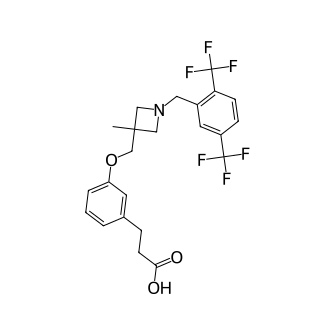 CC1(COc2cccc(CCC(=O)O)c2)CN(Cc2cc(C(F)(F)F)ccc2C(F)(F)F)C1